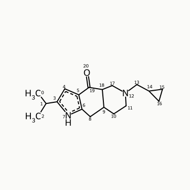 CC(C)c1cc2c([nH]1)CC1CCN(CC3CC3)CC1C2=O